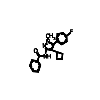 Cn1nc(NC(=O)c2ccccc2)c(C2CCC2)c1-c1ccc(F)cc1